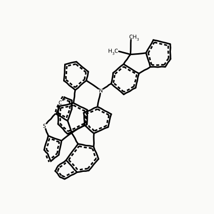 CC1(C)c2ccccc2-c2ccc(N(c3ccc4c(c3)C3(c5ccccc5Sc5ccccc53)c3c-4ccc4ccccc34)c3ccccc3-c3ccccc3)cc21